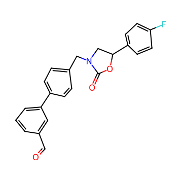 O=Cc1cccc(-c2ccc(CN3CC(c4ccc(F)cc4)OC3=O)cc2)c1